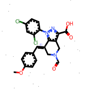 COc1ccc(/C=C2\CN(C=O)Cc3c(C(=O)O)nn(-c4ccc(Cl)cc4Cl)c32)cc1